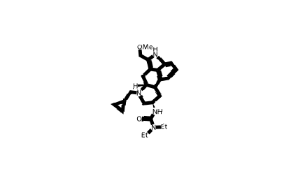 CCN(CC)C(=O)N[C@H]1CC2c3cccc4[nH]c(COC)c(c34)C[C@H]2N(CC2CC2)C1